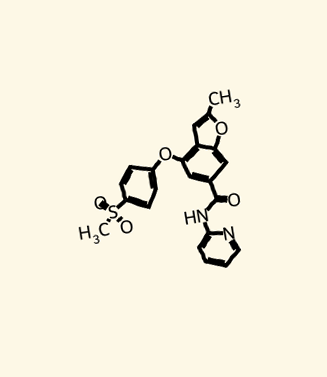 Cc1cc2c(Oc3ccc(S(C)(=O)=O)cc3)cc(C(=O)Nc3ccccn3)cc2o1